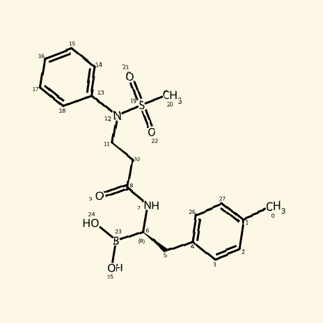 Cc1ccc(C[C@H](NC(=O)CCN(c2ccccc2)S(C)(=O)=O)B(O)O)cc1